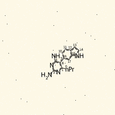 CCCc1nc(N)nc(N)c1-c1ccc2cc[nH]c2c1